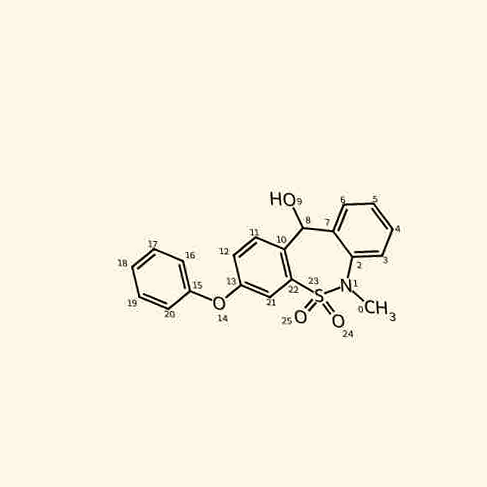 CN1c2ccccc2C(O)c2ccc(Oc3ccccc3)cc2S1(=O)=O